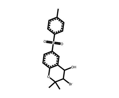 Cc1ccc(S(=O)(=O)c2ccc3c(c2)C(O)C(Br)C(C)(C)O3)cc1